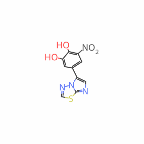 O=[N+]([O-])c1cc(-c2cnc3scnn23)cc(O)c1O